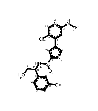 CC(C)Nc1cc(-c2c[nH]c([S+]([O-])N[C@H](CO)c3cccc(Cl)c3)c2)c(Cl)cn1